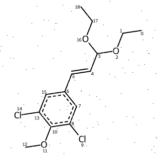 CCOC(C=Cc1cc(Cl)c(OC)c(Cl)c1)OCC